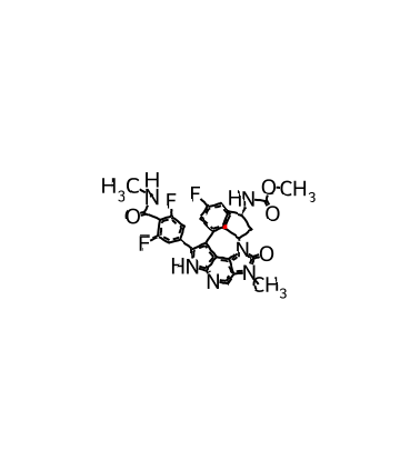 CNC(=O)c1c(F)cc(-c2[nH]c3ncc4c(c3c2-c2cccc(F)c2)n([C@@H]2CC[C@@H](NC(=O)OC)C2)c(=O)n4C)cc1F